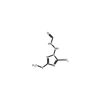 CSc1nc(N)n(NNC=O)n1